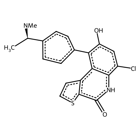 CN[C@H](C)c1ccc(-c2c(O)cc(Cl)c3[nH]c(=O)c4sccc4c23)cc1